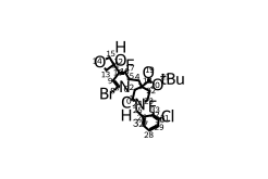 CC1CC(Cc2nc(Br)cc(C3(O)COC3)c2F)(C(=O)OC(C)(C)C)CCN1Cc1cccc(Cl)c1F